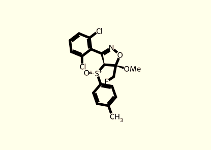 CO[C@]1(CF)ON=C(c2c(Cl)cccc2Cl)[C@@H]1[S@@+]([O-])c1ccc(C)cc1